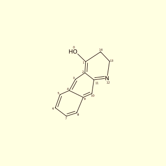 OC1=c2cc3ccccc3cc2=NCC1